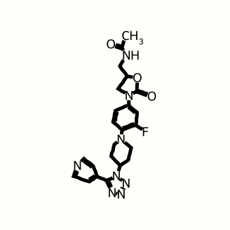 CC(=O)NCC1CN(c2ccc(N3CCC(n4nnnc4-c4ccncc4)CC3)c(F)c2)C(=O)O1